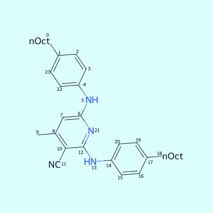 CCCCCCCCc1ccc(Nc2cc(C)c(C#N)c(Nc3ccc(CCCCCCCC)cc3)n2)cc1